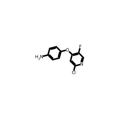 Nc1ccc(Oc2cc(Cl)ncc2F)cc1